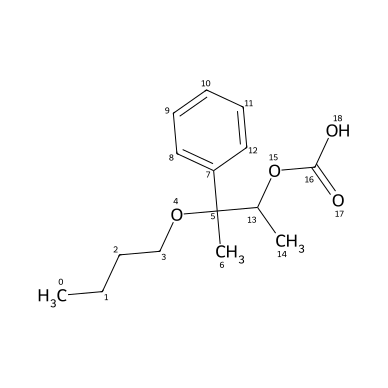 CCCCOC(C)(c1ccccc1)C(C)OC(=O)O